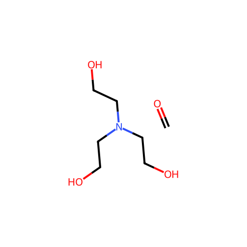 C=O.OCCN(CCO)CCO